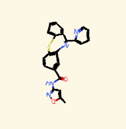 Cc1cc(NC(=O)c2ccc3c(c2)N=C(c2ccccn2)c2ccccc2S3)no1